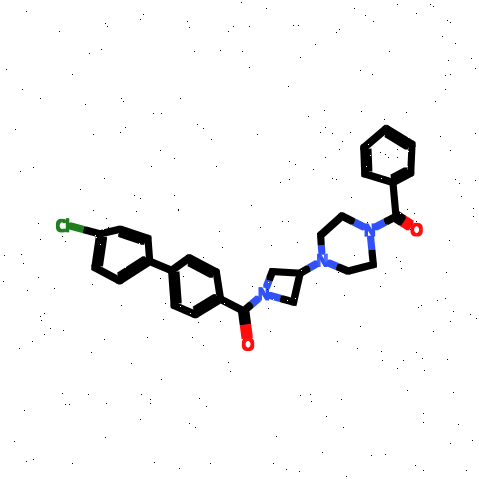 O=C(c1ccccc1)N1CCN(C2CN(C(=O)c3ccc(-c4ccc(Cl)cc4)cc3)C2)CC1